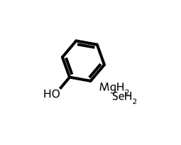 Oc1ccccc1.[MgH2].[SeH2]